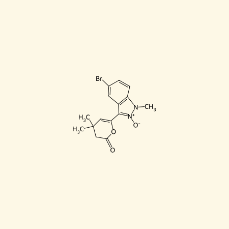 Cn1c2ccc(Br)cc2c(C2=CC(C)(C)CC(=O)O2)[n+]1[O-]